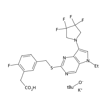 CC(C)(C)[O-].CCn1cc(N2CC(F)(F)C(F)(F)C2)c2nc(SCc3ccc(F)c(CC(=O)O)c3)ncc21.[K+]